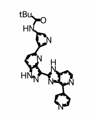 CC(C)(C)C(=O)Nc1cncc(-c2ccc3[nH]nc(-c4nc5c(-c6ccncc6)nccc5[nH]4)c3n2)c1